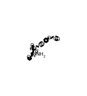 Cn1c(=O)n(CCN2CCN(c3ccc(OCCN4CCOCC4)cc3)CC2)c2nc(N)n3nc(-c4ccco4)cc3c21